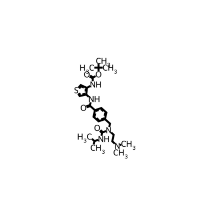 CC(C)NC(=O)N(CCN(C)C)Cc1ccc(C(=O)Nc2cscc2NC(=O)OC(C)(C)C)cc1